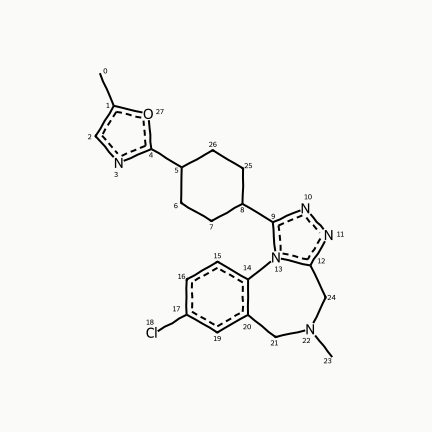 Cc1cnc(C2CCC(c3nnc4n3-c3ccc(Cl)cc3CN(C)C4)CC2)o1